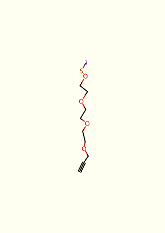 C#CCOCCOCCOCCOSI